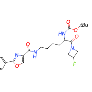 CC(C)(C)OC(=O)NC(CCCCNC(=O)c1coc(-c2ccccc2)n1)C(=O)N1CC(F)C1